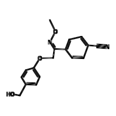 CON=C(COc1ccc(CO)cc1)c1ccc(C#N)cc1